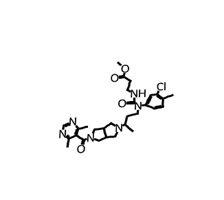 COC(=O)CCNC(=O)N(CCC(C)N1CC2CN(C(=O)c3c(C)ncnc3C)CC2C1)c1ccc(C)c(Cl)c1